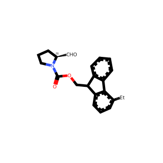 CCc1cccc2c1-c1ccccc1C2COC(=O)N1CCC[C@H]1C=O